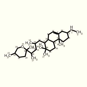 CNC1CCC2(C)C(=CCC3C(CC(C)CC(C)C4(C)CCC(C)CO4)C(C)(C)CCC32)C1